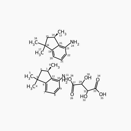 C[C@@H]1CC(C)(C)c2cccc(N)c21.C[C@@H]1CC(C)(C)c2cccc(N)c21.O=C(O)C(O)C(O)C(=O)O